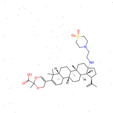 C=C(C)[C@@H]1CC[C@]2(NCCN3CCS(=O)(=O)CC3)CC[C@]3(C)[C@H](CC[C@@H]4[C@@]5(C)CC=C(C6=COC(C)(C(=O)O)OC6)C(C)(C)[C@@H]5CC[C@]43C)[C@@H]12